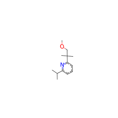 COCC(C)(C)c1cccc(C(C)C)n1